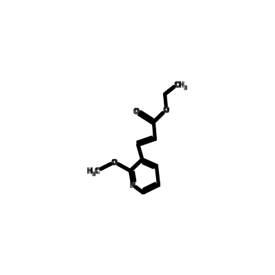 CCOC(=O)C=Cc1cccnc1OC